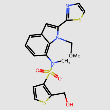 COCn1c(-c2nccs2)cc2cccc(N(C)S(=O)(=O)c3ccsc3CO)c21